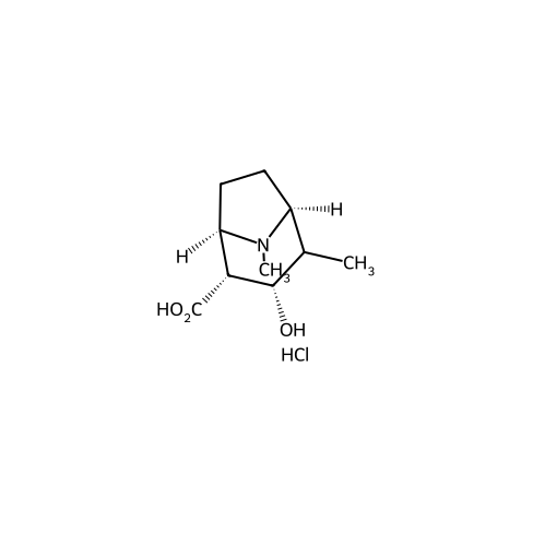 CC1[C@H](O)[C@H](C(=O)O)[C@H]2CC[C@@H]1N2C.Cl